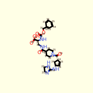 O=C(N[C@@H](CNC(=O)C1CCN(C(=O)[C@@H]2C=C[C@H](NC3=NCCN3)C2)CC1)C(=O)O)OCc1ccccc1